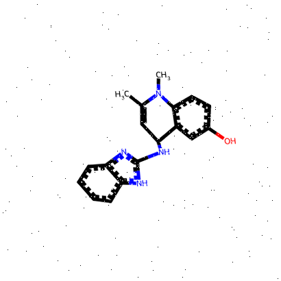 CC1=CC(Nc2nc3ccccc3[nH]2)c2cc(O)ccc2N1C